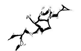 CCC(COc1ccc2c(nnn2CC2CC2)c1Br)OC